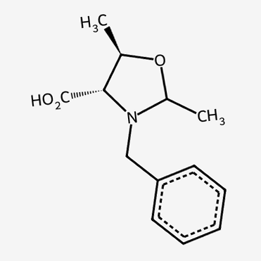 CC1O[C@H](C)[C@@H](C(=O)O)N1Cc1ccccc1